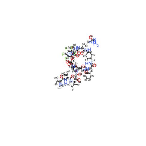 C=C(CC)[C@@H]([C@@H](CC(=O)N1CCC[C@H]1[C@H](OC)[C@@H](C)C(=O)N[C@@H](Cc1ccccc1)C(=O)NCc1ccc(NC(=O)[C@H](CCCNC(N)=O)NC(=O)[C@@H](NC(=O)CCC(=O)N2C3CCC2CC(C(=O)Oc2c(F)c(F)c(F)c(F)c2F)C3)C(C)C)cc1)OC)N(C)C(=O)[C@@H](NC(=O)[C@H](C(C)C)N(C)C)C(C)C